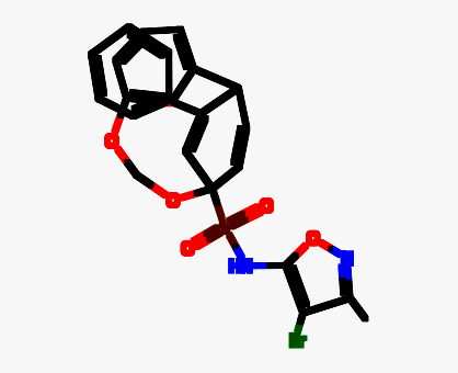 Cc1noc(NS(=O)(=O)C23C=CC(C(c4ccccc4)=C2)c2cccc(c2)OCO3)c1Br